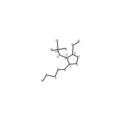 CCCCCC1CCC(CC)N1CC(C)(C)C